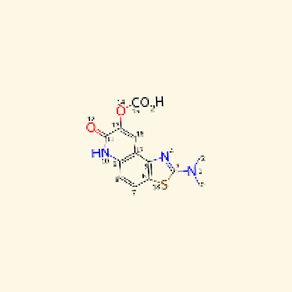 CN(C)c1nc2c(ccc3[nH]c(=O)c(OC(=O)O)cc32)s1